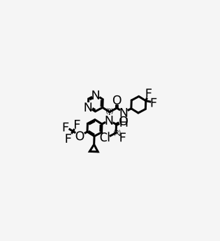 O=C(NC1CCC(F)(F)CC1)[C@@H](c1cncnc1)N(C(=O)[C@H](F)Cl)c1ccc(OC(F)(F)F)c(C2CC2)c1